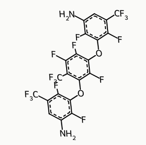 Nc1cc(C(F)(F)F)c(F)c(Oc2c(F)c(F)c(C(F)(F)F)c(Oc3c(F)c(N)cc(C(F)(F)F)c3F)c2F)c1F